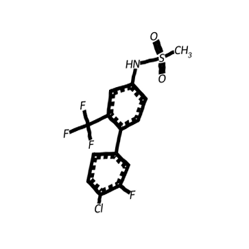 CS(=O)(=O)Nc1ccc(-c2ccc(Cl)c(F)c2)c(C(F)(F)F)c1